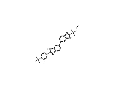 CCCC(C)(C)c1nc2ccc(-c3ccc4nc(-c5ccc(C(C)(C)C)c(C)c5)[nH]c4c3)cc2[nH]1